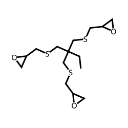 CCC(CSCC1CO1)(CSCC1CO1)CSCC1CO1